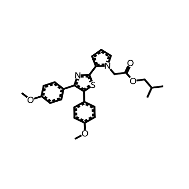 COc1ccc(-c2nc(-c3cccn3CC(=O)OCC(C)C)sc2-c2ccc(OC)cc2)cc1